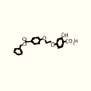 O=C(OCc1ccccc1)c1ccc(OCCOc2ccc(C(=O)O)c(O)c2)cc1